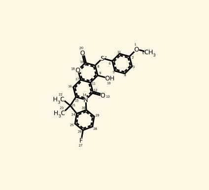 COc1cccc(Sc2c(O)c3c(=O)n4c(cc3oc2=O)C(C)(C)c2cc(F)ccc2-4)c1